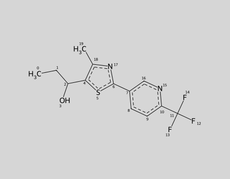 CCC(O)c1sc(-c2ccc(C(F)(F)F)nc2)nc1C